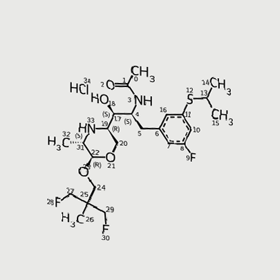 CC(=O)N[C@@H](Cc1cc(F)cc(SC(C)C)c1)[C@H](O)[C@H]1CO[C@@H](OCC(C)(CF)CF)[C@H](C)N1.Cl